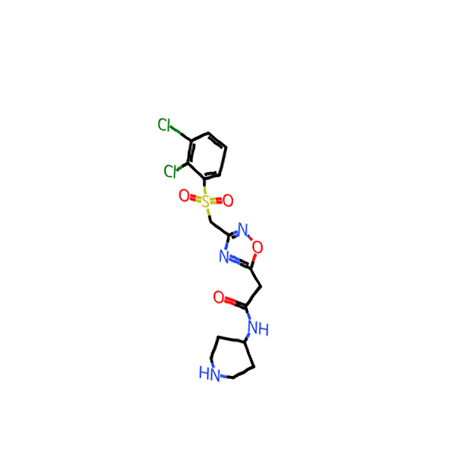 O=C(Cc1nc(CS(=O)(=O)c2cccc(Cl)c2Cl)no1)NC1CCNCC1